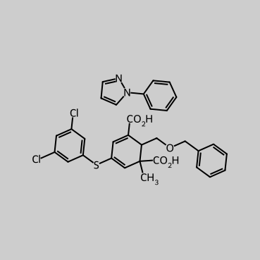 CC1(C(=O)O)C=C(Sc2cc(Cl)cc(Cl)c2)C=C(C(=O)O)C1COCc1ccccc1.c1ccc(-n2cccn2)cc1